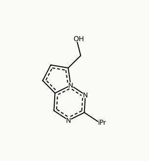 CC(C)c1ncc2ccc(CO)n2n1